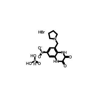 Br.O=[PH](O)O.O=c1[nH]c2cc([N+](=O)[O-])cc(CN3CCCC3)c2[nH]c1=O